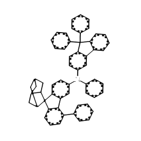 c1ccc(-c2cccc3c2-c2cc(N(c4ccccc4)c4ccc5c(c4)-c4ccccc4C5(c4ccccc4)c4ccccc4)ccc2C32C3CC4CC(C3)C2C4)cc1